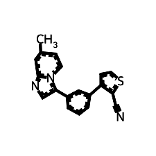 Cc1ccn2c(-c3cccc(-c4ccsc4C#N)c3)cnc2c1